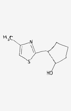 Cc1csc(C2CCCC2O)n1